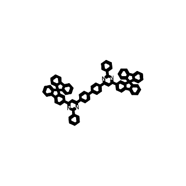 c1ccc(-c2nc(-c3ccc(-c4ccc(-c5cc(-c6ccc7c(c6)C6(c8ccccc8-c8ccccc86)c6ccccc6-7)nc(-c6ccccc6)n5)cc4)cc3)cc(-c3ccc4c(c3)C3(c5ccccc5-c5ccccc53)c3ccccc3-4)n2)cc1